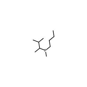 CCCCP(C)C(C)C(C)C